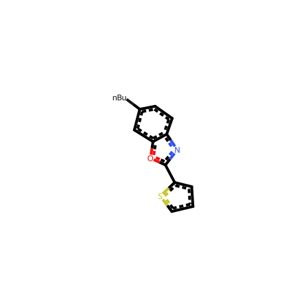 CCCCc1ccc2nc(-c3cccs3)oc2c1